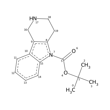 CC(C)(C)OC(=O)n1c2c(c3ccccc31)CNCC2